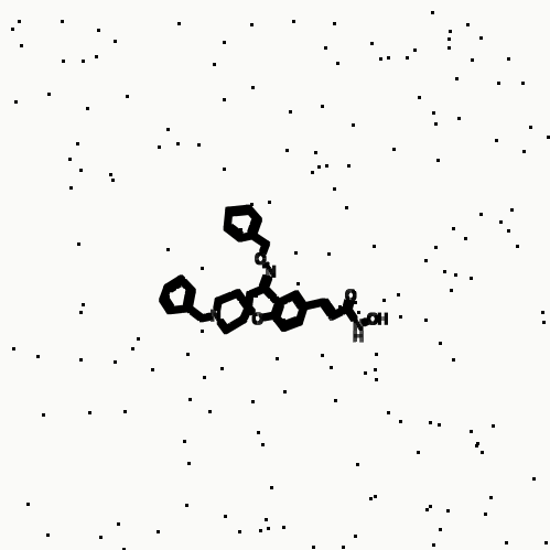 O=C(C=Cc1ccc2c(c1)C(=NOCc1ccccc1)CC1(CCN(Cc3ccccc3)CC1)O2)NO